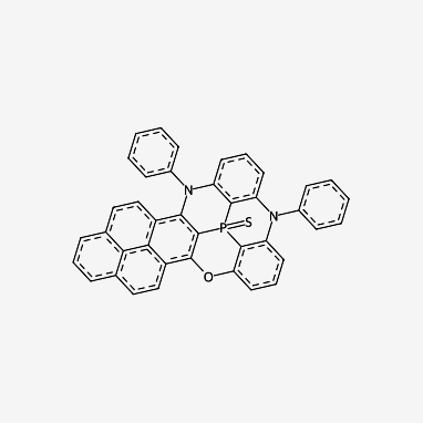 S=P12c3c4cccc3N(c3ccccc3)c3cccc(c31)N(c1ccccc1)c1c2c(c2ccc3cccc5ccc1c2c35)O4